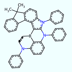 CC1(C)c2ccccc2-c2c1ccc1c2c2c(n1-c1ccccc1)N(c1ccccc1)c1cccc3c1B2c1ccccc1N3c1ccccc1